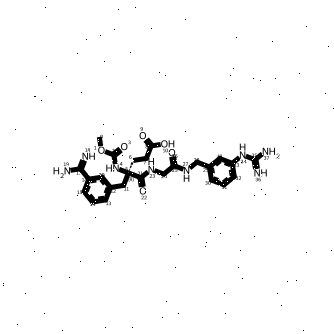 COC(=O)N[C@](CCC(=O)O)(Cc1cccc(C(=N)N)c1)C(=O)NCC(=O)NCc1cccc(NC(=N)N)c1